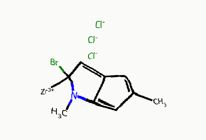 CC1=CC2=C[C](Br)([Zr+3])N(C)C2=C1.[Cl-].[Cl-].[Cl-]